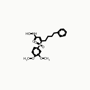 COc1ccc(S(=O)(=O)/C(=C\C(=O)NO)CCCCc2ccccc2)cc1OC